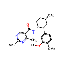 CCOc1cc([C@H]2C[C@H](OC(C)=O)CC[C@H]2NC(=O)c2cnc(SC)nc2C)ccc1OC